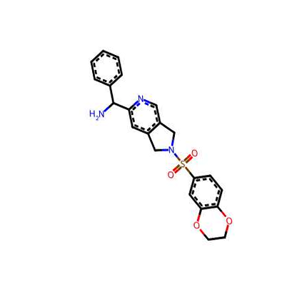 NC(c1ccccc1)c1cc2c(cn1)CN(S(=O)(=O)c1ccc3c(c1)OCCO3)C2